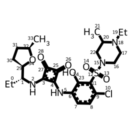 CC[C@@H](Nc1c(Nc2ccc(Cl)c(S(=O)(=O)N3CCN(CC)C(C)C3)c2O)c(=O)c1=O)[C@H]1CC[C@@H](C)O1